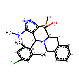 CSc1n[nH]c(N(C)C)c1C(c1c(C)cc(Br)cc1C)N1Cc2ccccc2CC1CO